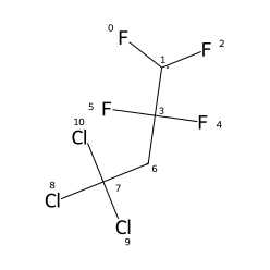 F[C](F)C(F)(F)CC(Cl)(Cl)Cl